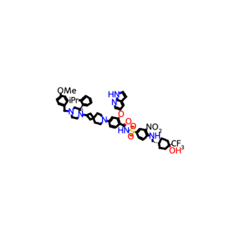 COc1ccc(CN2CCN(C3CC4(CCN(c5ccc(C(=O)NS(=O)(=O)c6ccc(NC[C@H]7CC[C@@](O)(C(F)(F)F)CC7)c([N+](=O)[O-])c6)c(Oc6cnc7[nH]ccc7c6)c5)CC4)C3)[C@H](c3ccccc3C(C)C)C2)cc1